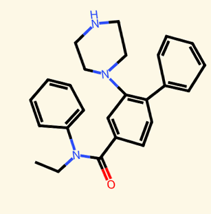 CCN(C(=O)c1ccc(-c2ccccc2)c(N2CCNCC2)c1)c1ccccc1